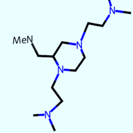 CNCC1CN(CCN(C)C)CCN1CCN(C)C